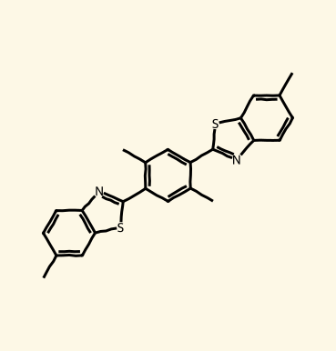 Cc1ccc2nc(-c3cc(C)c(-c4nc5ccc(C)cc5s4)cc3C)sc2c1